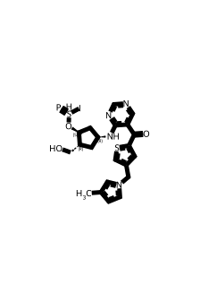 Cc1ccn(Cc2csc(C(=O)c3cncnc3N[C@@H]3C[C@H](CO)[C@@H](O[SH](#P)I)C3)c2)c1